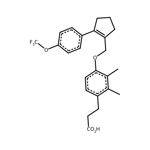 Cc1c(CCC(=O)O)ccc(OCC2=C(c3ccc(OC(F)(F)F)cc3)CCC2)c1C